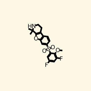 COc1c(F)cc(F)cc1S(=O)(=O)c1ccc2c3c(oc2c1)C(C)(C)NCC3